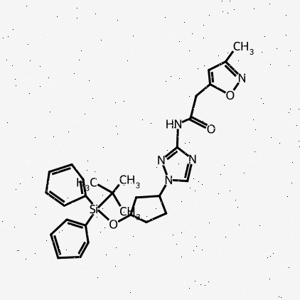 Cc1cc(CC(=O)Nc2ncn(C3CCC(O[Si](c4ccccc4)(c4ccccc4)C(C)(C)C)C3)n2)on1